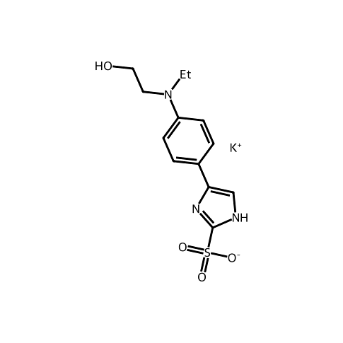 CCN(CCO)c1ccc(-c2c[nH]c(S(=O)(=O)[O-])n2)cc1.[K+]